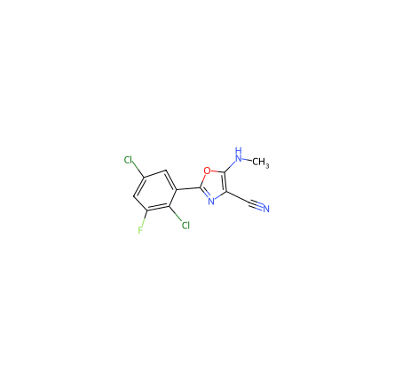 CNc1oc(-c2cc(Cl)cc(F)c2Cl)nc1C#N